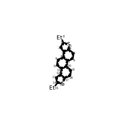 CCc1cc2c(ccc3c2ccc2c4cc(CC)sc4ccc23)s1